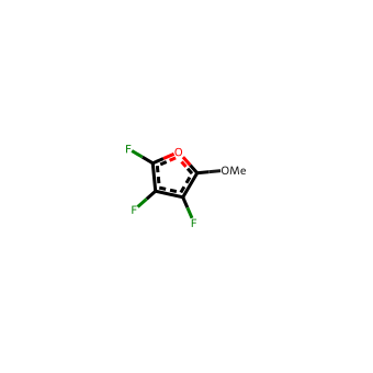 [CH2]Oc1oc(F)c(F)c1F